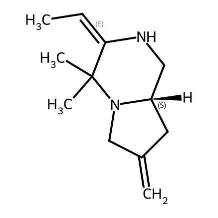 C=C1C[C@H]2CN/C(=C/C)C(C)(C)N2C1